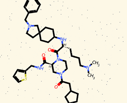 CN(C)CCCC[C@@H](NC1CCC2(CC1)CCN(Cc1ccccc1)C2)C(=O)N1CCN(C(=O)CC2CCCC2)C[C@H]1C(=O)NCc1cccs1